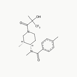 Cc1ccc(C(=O)N(C)[C@H]2CCN(C(=O)C(C)(O)C(F)(F)F)C[C@H]2C)cc1